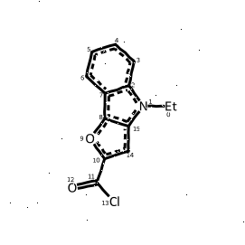 CCn1c2ccccc2c2oc(C(=O)Cl)cc21